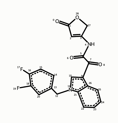 O=C1C=C(NC(=O)C(=O)c2cn(Cc3ccc(F)c(F)c3)c3ccccc23)CO1